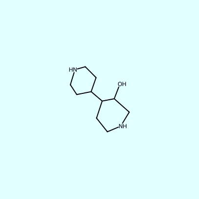 OC1CNCCC1C1CCNCC1